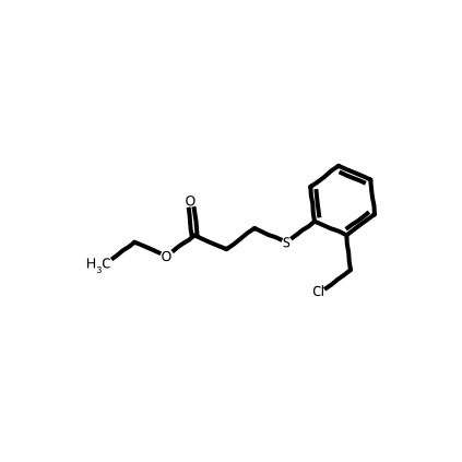 CCOC(=O)CCSc1ccccc1CCl